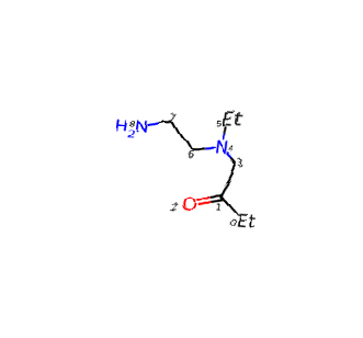 CCC(=O)CN(CC)CCN